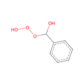 OOOC(O)c1ccccc1